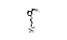 CS(=O)(=O)NCCCOc1cc[c]c(CN)c1